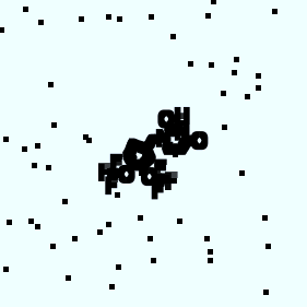 O=c1ccn(Cc2ccc(OC(F)(F)F)c(OC(F)(F)F)c2)c(=O)[nH]1